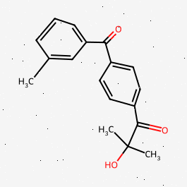 Cc1cccc(C(=O)c2ccc(C(=O)C(C)(C)O)cc2)c1